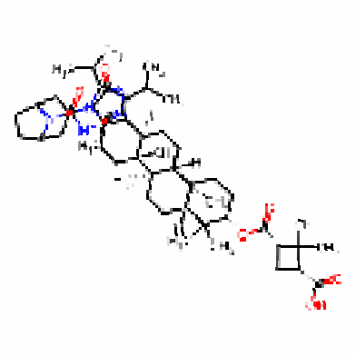 Cc1nnc(C(C)C)n1C1CC2CCC(C1)N2C(=O)N[C@@]12CC[C@]3(C)[C@H](CC[C@@H]4[C@@]5(C)CC[C@H](OC(=O)[C@H]6C[C@@H](C(=O)O)C6(C)C)C(C)(C)[C@@H]5CC[C@]43C)C1=C(C(C)C)C(=O)C2